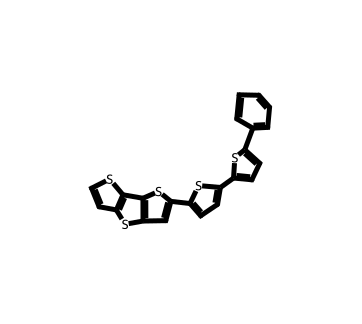 c1ccc(-c2ccc(-c3ccc(-c4cc5sc6ccsc6c5s4)s3)s2)cc1